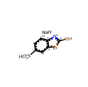 O=S(=O)(O)c1ccc2nc(S)sc2c1.[NaH]